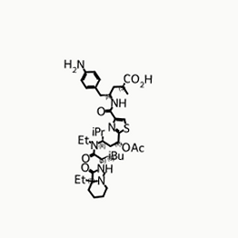 CC[C@H](C)[C@H](NC(=O)[C@@]1(CC)CCCCN1C)C(=O)N(CC)[C@H](C[C@@H](OC(C)=O)c1nc(C(=O)N[C@@H](Cc2ccc(N)cc2)C[C@H](C)C(=O)O)cs1)C(C)C